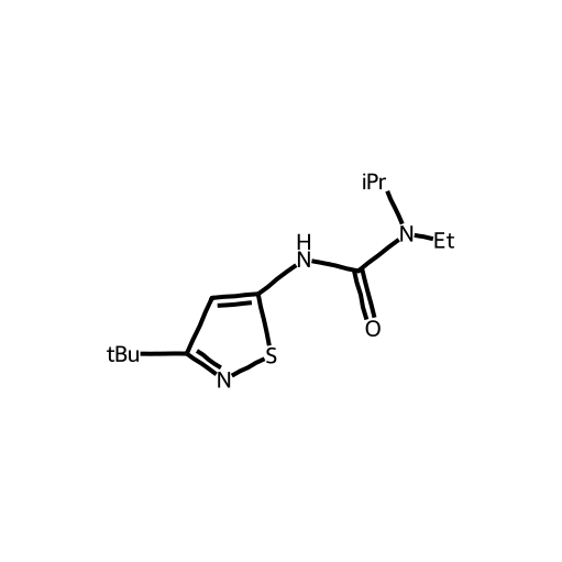 CCN(C(=O)Nc1cc(C(C)(C)C)ns1)C(C)C